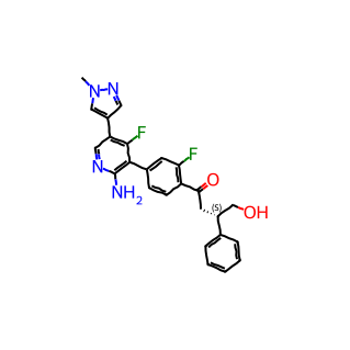 Cn1cc(-c2cnc(N)c(-c3ccc(C(=O)C[C@H](CO)c4ccccc4)c(F)c3)c2F)cn1